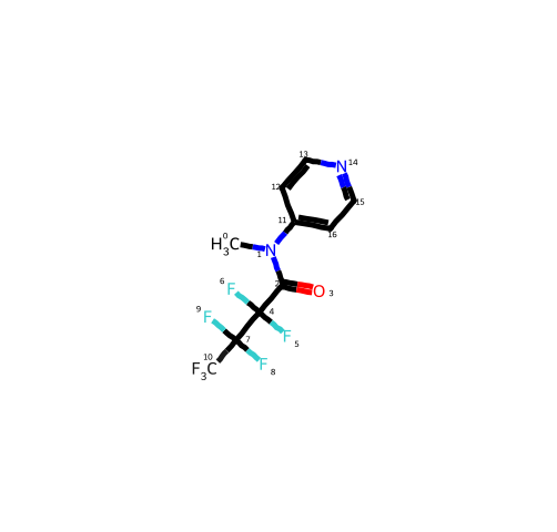 CN(C(=O)C(F)(F)C(F)(F)C(F)(F)F)c1ccncc1